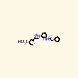 O=C(Cc1ccccc1)Nc1cccc(-n2cc(-c3cc(C(=O)O)ccn3)nn2)c1